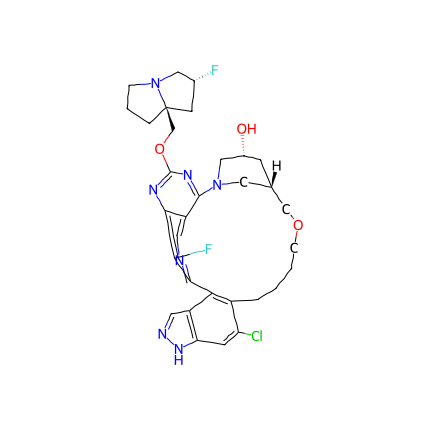 O[C@@H]1C[C@@H]2COCCCCc3c(Cl)cc4[nH]ncc4c3-c3ncc4c(nc(OC[C@@]56CCCN5C[C@H](F)C6)nc4c3F)N(C1)C2